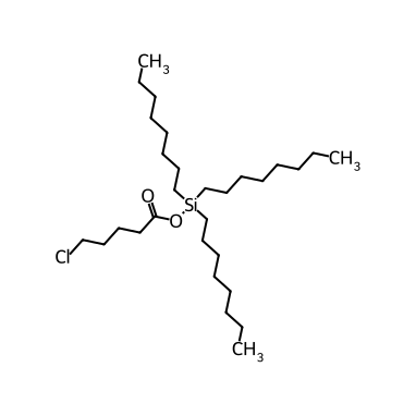 CCCCCCCC[Si](CCCCCCCC)(CCCCCCCC)OC(=O)CCCCCl